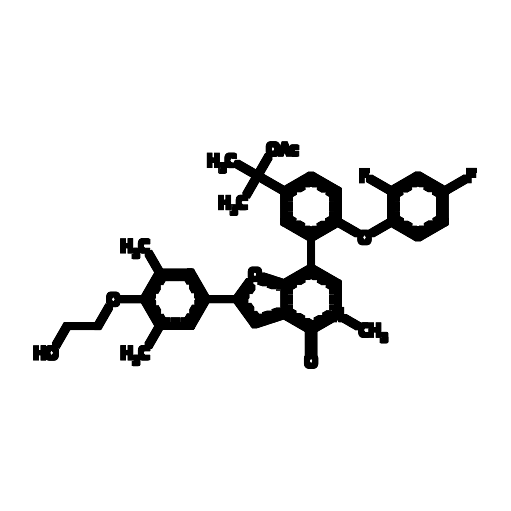 CC(=O)OC(C)(C)c1ccc(Oc2ccc(F)cc2F)c(-c2cn(C)c(=O)c3cc(-c4cc(C)c(OCCO)c(C)c4)oc23)c1